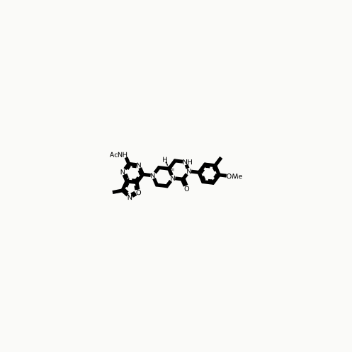 COc1ccc(N2NC[C@@H]3CN(c4nc(NC(C)=O)nc5c(C)noc45)CCN3C2=O)cc1C